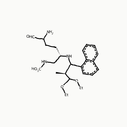 CCOC(OCC)[C@@H](C)C(N[C@@H](CCC(N)C=O)CNC(=O)O)c1cccc2ccccc12